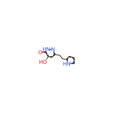 O=c1[nH]nc(CCc2ccc[nH]2)cc1O